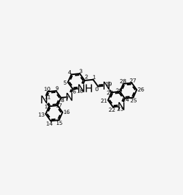 C(Cc1cccc(=Nc2ccnc3ccccc23)[nH]1)=Nc1ccnc2ccccc12